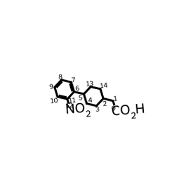 O=C(O)CC1CCC(c2ccccc2[N+](=O)[O-])CC1